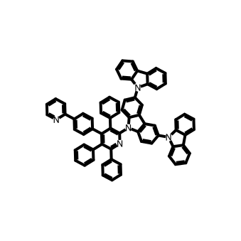 c1ccc(-c2nc(-n3c4ccc(-n5c6ccccc6c6ccccc65)cc4c4cc(-n5c6ccccc6c6ccccc65)ccc43)c(-c3ccccc3)c(-c3ccc(-c4ccccn4)cc3)c2-c2ccccc2)cc1